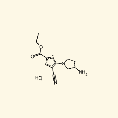 CCOC(=O)c1cc(C#N)c(N2CCC(N)C2)s1.Cl